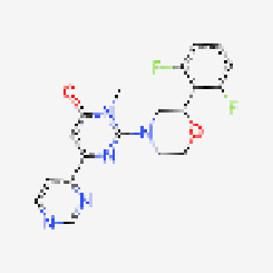 Cn1c(N2CCOC(c3c(F)cccc3F)C2)nc(-c2ccncn2)cc1=O